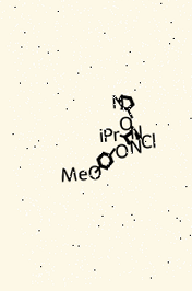 COc1ccc(COc2nc(Cl)nc(OCc3cccnc3)c2C(C)C)cc1